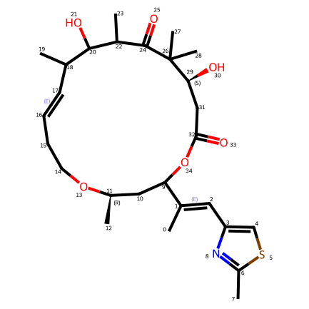 C/C(=C\c1csc(C)n1)C1C[C@@H](C)OCC/C=C/C(C)C(O)C(C)C(=O)C(C)(C)[C@@H](O)CC(=O)O1